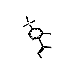 C/C=C(\C)c1ncc([Si](C)(C)C)cc1C